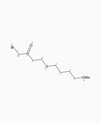 COCCCCOCCC(=O)CBr